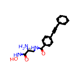 N[C@@H](CNC(=O)c1ccc(C#Cc2ccccc2)cc1)C(=O)NO